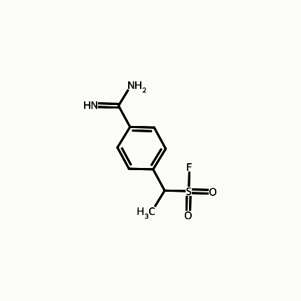 CC(c1ccc(C(=N)N)cc1)S(=O)(=O)F